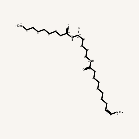 CCCCCC/C=C\CCCCCCCC(=O)NCCCC[C@@H](C)NC(=O)CCCCCCCCCCCCCCCCC